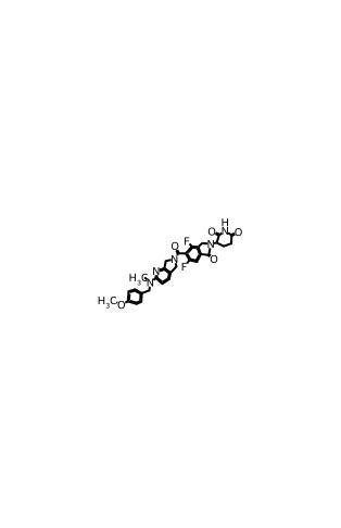 COc1ccc(CN(C)c2ccc3c(n2)CN(C(=O)c2c(F)cc4c(c2F)CN(C2CCC(=O)NC2=O)C4=O)C3)cc1